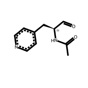 CC(=O)N[C@H](C=O)Cc1ccncc1